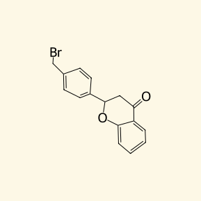 O=C1CC(c2ccc(CBr)cc2)Oc2ccccc21